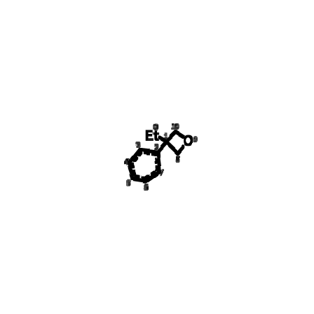 CCC1(c2ccccc2)COC1